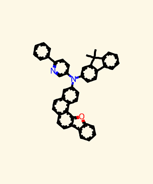 CC1(C)c2ccccc2-c2ccc(N(c3ccc(-c4ccccc4)nc3)c3ccc4c(ccc5ccc6c7ccccc7oc6c54)c3)cc21